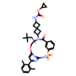 Cc1cccc(C)c1-c1cc2nc(n1)NS(=O)(=O)c1cccc(c1)C(=O)N(C1CC3(CC(NC(=O)OC4CC4)C3)C1)[C@H](CC(C)(C)C)CO2